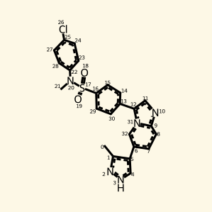 Cc1n[nH]cc1-c1ccc2ncc(-c3ccc(S(=O)(=O)N(C)c4ccc(Cl)cc4)cc3)n2c1